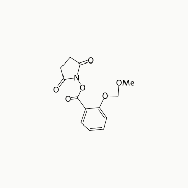 COCOc1ccccc1C(=O)ON1C(=O)CCC1=O